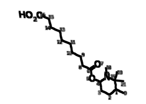 CC1CCC(OC(=O)CCCCCCCCC(=O)O)N(C)C1(C)C